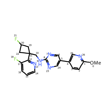 COc1ccc(-c2cnc(NCC3(c4ncccc4F)CC(F)C3)nc2)cn1